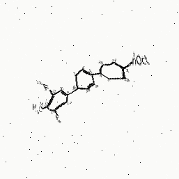 CCCCCCCCC1CCC(C2=CCC(c3cc(F)c(C)c(F)c3)C=C2)CC1